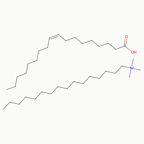 CCCCCCCC/C=C\CCCCCCCC(=O)O.CCCCCCCCCCCCCCCC[N+](C)(C)C